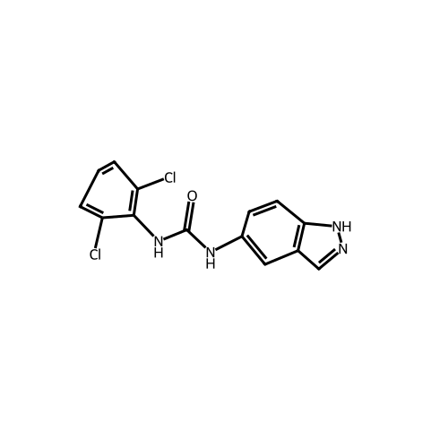 O=C(Nc1ccc2[nH]ncc2c1)Nc1c(Cl)cccc1Cl